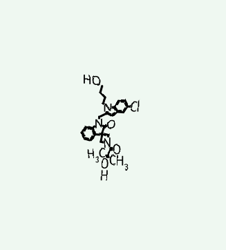 CC(C)(O)C(=O)N1CC2(C1)C(=O)N(Cc1cc3cc(Cl)ccc3n1CCCCO)c1ccccc12